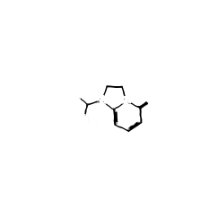 CC(C)N1CCn2c1cccc2=O